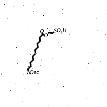 CCCCCCCCCCCCCCCCCCCCCC(=O)OCCS(=O)(=O)O